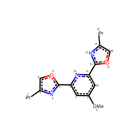 COc1cc(-c2nc(C(C)C)co2)nc(-c2nc(C(C)C)co2)c1